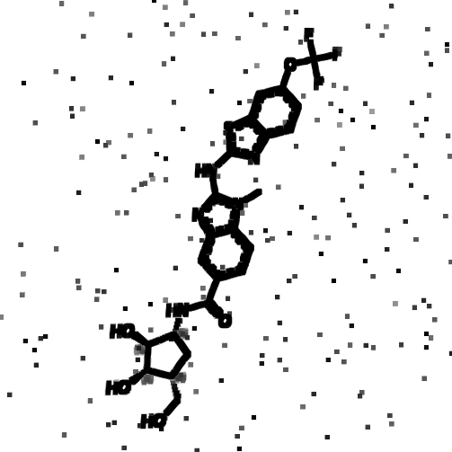 Cn1c(Nc2nc3ccc(OC(F)(F)F)cc3s2)nc2cc(C(=O)N[C@@H]3C[C@H](CO)[C@@H](O)[C@H]3O)ccc21